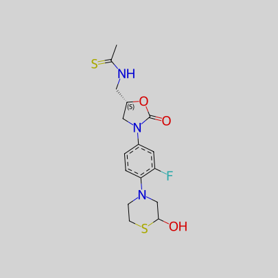 CC(=S)NC[C@H]1CN(c2ccc(N3CCSC(O)C3)c(F)c2)C(=O)O1